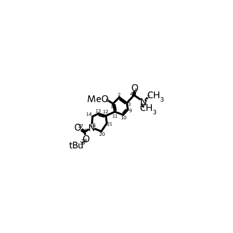 COc1cc(C(=O)N(C)C)ccc1C1=CCN(C(=O)OC(C)(C)C)CC1